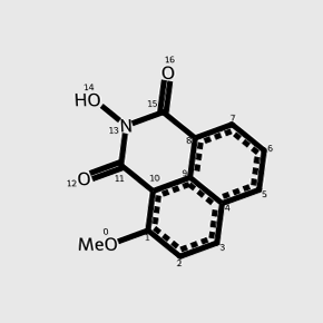 COc1ccc2cccc3c2c1C(=O)N(O)C3=O